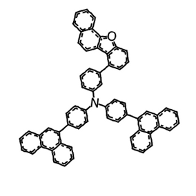 c1cc(-c2cccc3oc4c5ccccc5ccc4c23)cc(N(c2ccc(-c3cc4ccccc4c4ccccc34)cc2)c2ccc(-c3cc4ccccc4c4ccccc34)cc2)c1